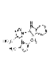 Cc1ccc(C)n1-c1c(C(=O)O)cnn1-c1nc2ccccc2[nH]1